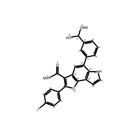 CNC(=O)c1c(-c2ccc(F)cc2)oc2c1cc(-c1cccc(C(O)OC)c1)c1[nH]ccc12